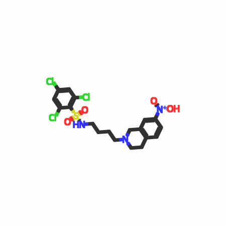 O=[N+](O)c1ccc2c(c1)CN(CCCCNS(=O)(=O)c1c(Cl)cc(Cl)cc1Cl)CC2